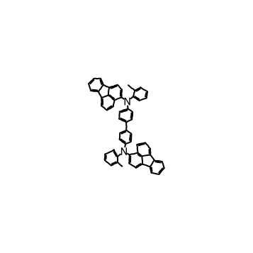 Cc1ccccc1N(c1ccc(-c2ccc(N(c3ccccc3C)c3ccc4c5c(cccc35)-c3ccccc3-4)cc2)cc1)c1ccc2c3c(cccc13)-c1ccccc1-2